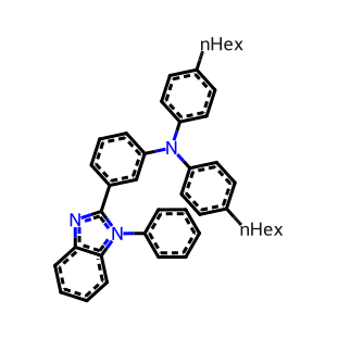 CCCCCCc1ccc(N(c2ccc(CCCCCC)cc2)c2cccc(-c3nc4ccccc4n3-c3ccccc3)c2)cc1